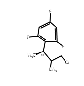 CC(CCl)[C@@H](C)c1c(F)cc(F)cc1F